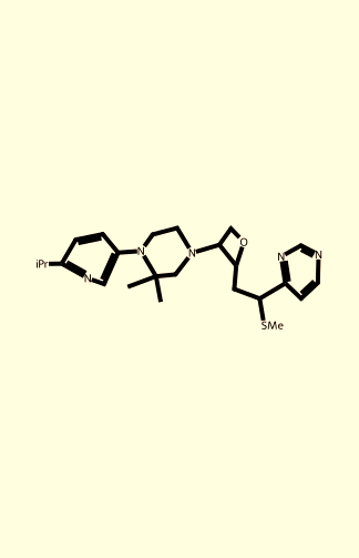 CSC(CC1OCC1N1CCN(c2ccc(C(C)C)nc2)C(C)(C)C1)c1ccncn1